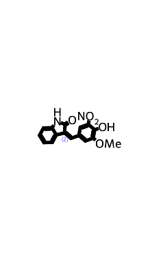 COc1cc(/C=C2\C(=O)Nc3ccccc32)cc([N+](=O)[O-])c1O